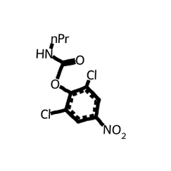 CCCNC(=O)Oc1c(Cl)cc([N+](=O)[O-])cc1Cl